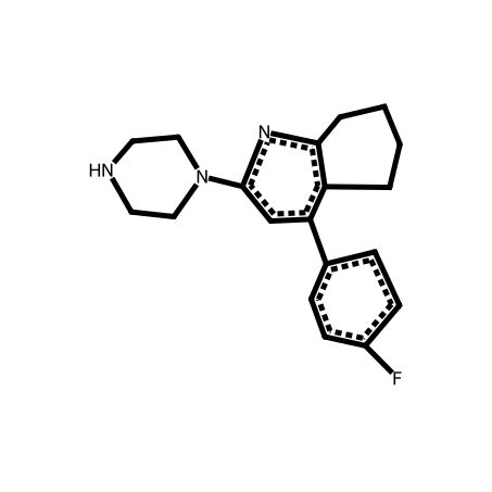 Fc1ccc(-c2cc(N3CCNCC3)nc3c2CCCC3)cc1